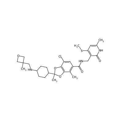 CSc1cc(C)[nH]c(=O)c1CNC(=O)c1cc(Cl)c2c(c1C)OC(C)(C1CCC(NCC3(C)COC3)CC1)O2